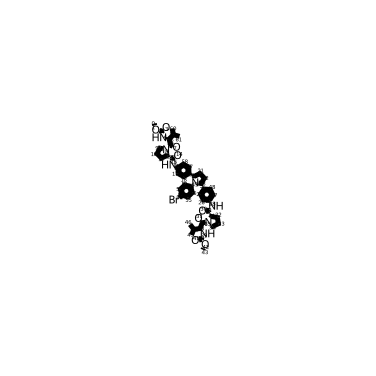 COC(=O)N[C@H](C(=O)N1CCC[C@H]1C(=O)Nc1ccc([C@H]2CC[C@H](c3ccc(NC(=O)[C@@H]4CCCN4C(=O)[C@@H](NC(=O)OC)C(C)C)cc3)N2c2ccc(Br)cc2)cc1)C(C)C